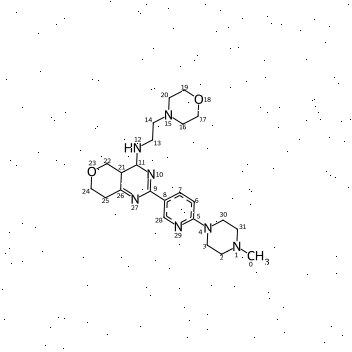 CN1CCN(c2ccc(C3=NC(NCCN4CCOCC4)C4COCCC4=N3)cn2)CC1